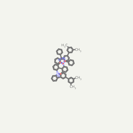 Cc1cc(C)cc(-c2ccc3c(c2)c2ccccc2n3-c2cccc(C#N)c2-c2c(-c3nc(-c4ccccc4)nc(-c4ccccc4)n3)cccc2-n2c3ccccc3c3cc(-c4cc(C)cc(C)c4)ccc32)c1